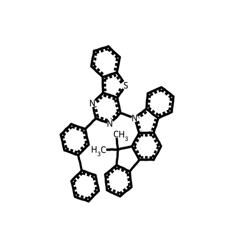 CC1(C)c2ccccc2-c2ccc3c4ccccc4n(-c4nc(-c5cccc(-c6ccccc6)c5)nc5c4sc4ccccc45)c3c21